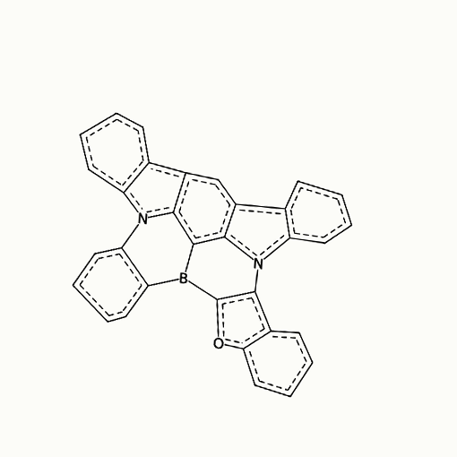 c1ccc2c(c1)B1c3oc4ccccc4c3-n3c4ccccc4c4cc5c6ccccc6n-2c5c1c43